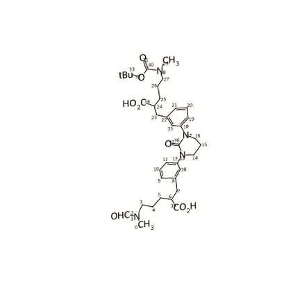 CN(C=O)CCCC(Cc1cccc(N2CCCN(c3cccc(CC(CCCN(C)C(=O)OC(C)(C)C)C(=O)O)c3)C2=O)c1)C(=O)O